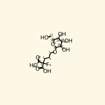 O=C(O)C(F)(CCCOC1O[C@H](CO)[C@@H](O)[C@H](O)[C@H]1O)C(=O)O